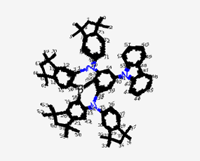 CC1(C)CC(C)(C)c2cc(N3c4cc5c(cc4B4c6cc7c(cc6N(c6ccc8c(c6)C(C)(C)CC8(C)C)c6cc(-n8c9ccccc9c9ccccc98)cc3c64)C(C)(C)CC7(C)C)C(C)(C)CC5(C)C)ccc21